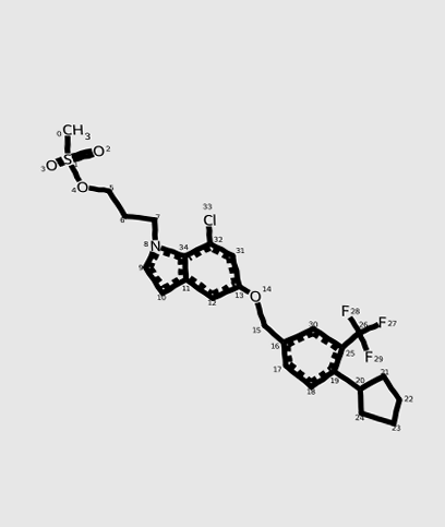 CS(=O)(=O)OCCCn1ccc2cc(OCc3ccc(C4CCCC4)c(C(F)(F)F)c3)cc(Cl)c21